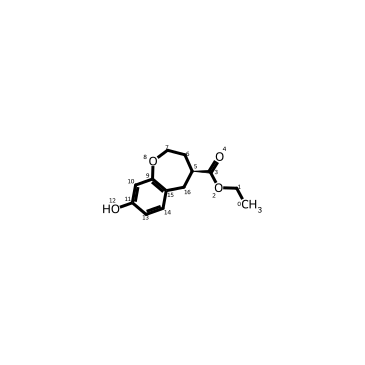 CCOC(=O)[C@@H]1CCOc2cc(O)ccc2C1